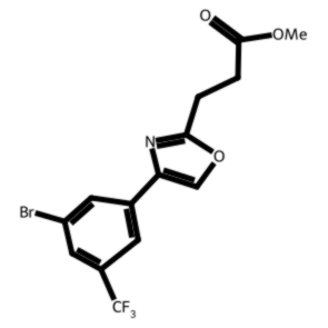 COC(=O)CCc1nc(-c2cc(Br)cc(C(F)(F)F)c2)co1